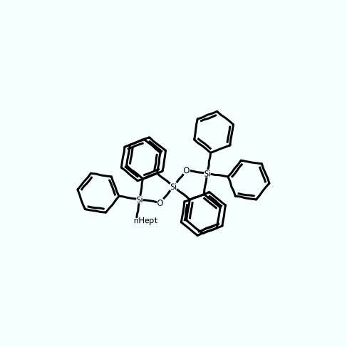 [CH2]CCCCCC[Si](O[Si](O[Si](c1ccccc1)(c1ccccc1)c1ccccc1)(c1ccccc1)c1ccccc1)(c1ccccc1)c1ccccc1